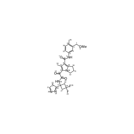 COCc1cc(NC(=O)c2c(C)c(C(=O)C(=O)NC3(c4nncs4)CC(F)(F)C3)n3c2CCC3)ccc1C